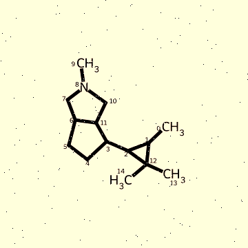 CC1C(C2CCC3CN(C)CC32)C1(C)C